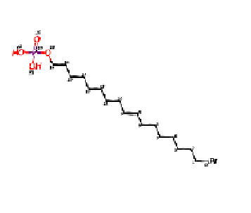 CC(C)CCCCCCCC=CCCCCCCCCOP(=O)(O)O